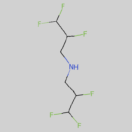 FC(F)C(F)CNCC(F)C(F)F